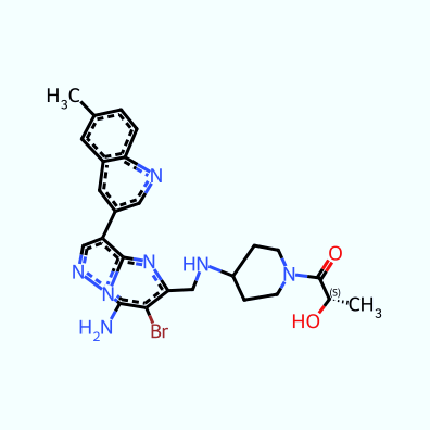 Cc1ccc2ncc(-c3cnn4c(N)c(Br)c(CNC5CCN(C(=O)[C@H](C)O)CC5)nc34)cc2c1